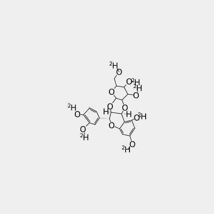 [2H]OCC1OC2O[C@@H]3[C@@H](c4ccc(O[2H])c(O[2H])c4)Oc4cc(O[2H])cc(O[2H])c4[C@@H]3OC2C(O[2H])C1O[2H]